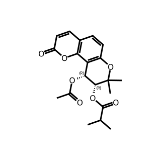 CC(=O)O[C@@H]1c2c(ccc3ccc(=O)oc23)OC(C)(C)[C@@H]1OC(=O)C(C)C